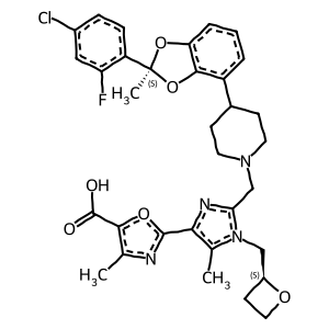 Cc1nc(-c2nc(CN3CCC(c4cccc5c4O[C@@](C)(c4ccc(Cl)cc4F)O5)CC3)n(C[C@@H]3CCO3)c2C)oc1C(=O)O